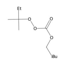 CCC(C)COC(=O)OOC(C)(C)CC